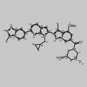 COc1cc(C(=O)N2C[C@H](N)C[C@@H](F)C2)cn2nc(-c3cc4ccc(-c5ccn6c(C)nnc6c5)nc4n3CC3CC3)c(C)c12